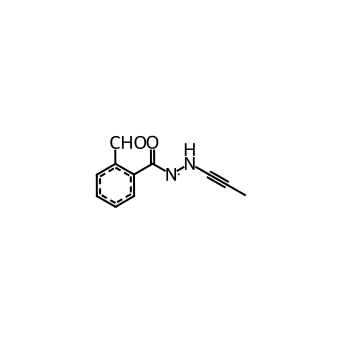 CC#CN[N]C(=O)c1ccccc1C=O